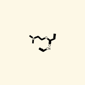 C=CC#N.C=CC(=O)OCCN(C)C